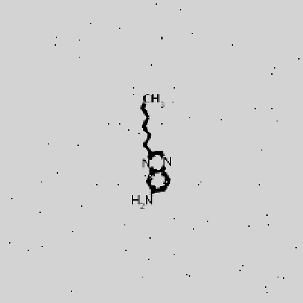 CCCCCCc1cnc2ccc(N)cc2n1